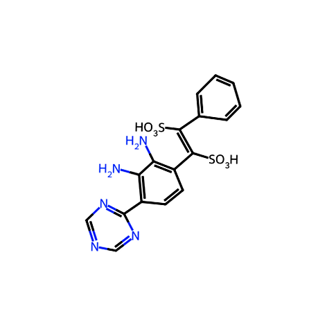 Nc1c(C(=C(c2ccccc2)S(=O)(=O)O)S(=O)(=O)O)ccc(-c2ncncn2)c1N